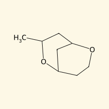 CC1CC2CC(CCO2)O1